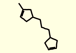 CC1=CCC(CCCC2CC=CC2)C1